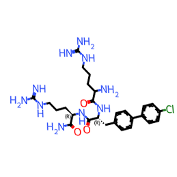 N=C(N)NCCCC(N)C(=O)N[C@H](Cc1ccc(-c2ccc(Cl)cc2)cc1)C(=O)N[C@H](CCCNC(=N)N)C(N)=O